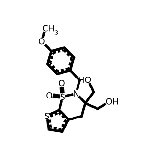 COc1ccc(CN2C(CO)(CO)Cc3ccsc3S2(=O)=O)cc1